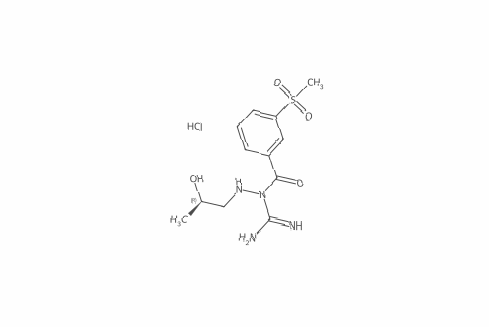 C[C@@H](O)CNN(C(=N)N)C(=O)c1cccc(S(C)(=O)=O)c1.Cl